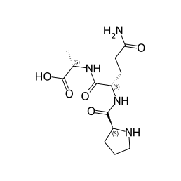 C[C@H](NC(=O)[C@H](CCC(N)=O)NC(=O)[C@@H]1CCCN1)C(=O)O